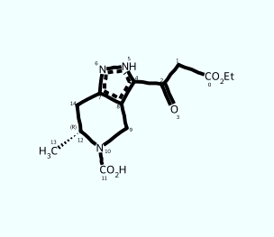 CCOC(=O)CC(=O)c1[nH]nc2c1CN(C(=O)O)[C@H](C)C2